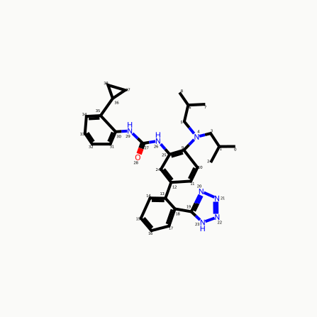 CC(C)CN(CC(C)C)c1ccc(-c2ccccc2-c2nnn[nH]2)cc1NC(=O)Nc1ccccc1C1CC1